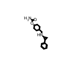 NC(=O)OC1CCC(CNC2CC2c2ccccc2)CC1